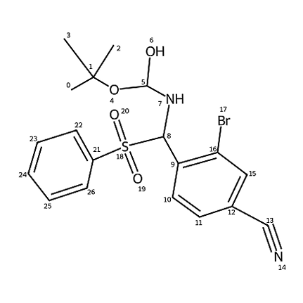 CC(C)(C)OC(O)NC(c1ccc(C#N)cc1Br)S(=O)(=O)c1ccccc1